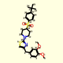 COc1ccc(Cc2csc(N3CCC(S(=O)(=O)c4ccc(C(C)(C)C)cc4)CC3)n2)cc1OC